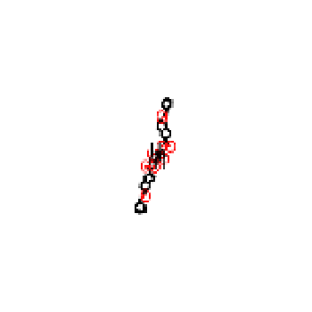 O=C(O[C@H]1CO[C@H]2[C@@H]1OC[C@H]2OC(=O)c1ccc2cc(OCc3ccccc3)ccc2c1)c1ccc2cc(OCc3ccccc3)ccc2c1